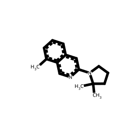 Cc1cccc2cc(N3CCCC3(C)C)ncc12